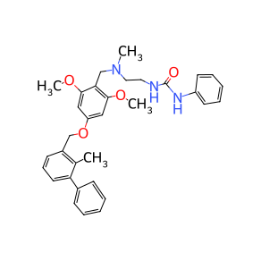 COc1cc(OCc2cccc(-c3ccccc3)c2C)cc(OC)c1CN(C)CCNC(=O)Nc1ccccc1